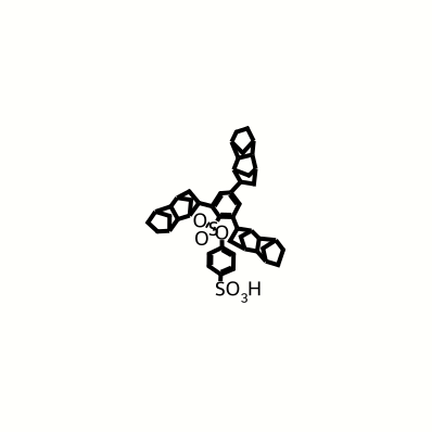 O=S(=O)(O)c1ccc(OS(=O)(=O)c2c(C3CC4CC3C3C5CCC(C5)C43)cc(C3CC4CC3C3C5CCC(C5)C43)cc2C2CC3CC2C2C4CCC(C4)C32)cc1